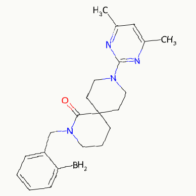 Bc1ccccc1CN1CCCC2(CCN(c3nc(C)cc(C)n3)CC2)C1=O